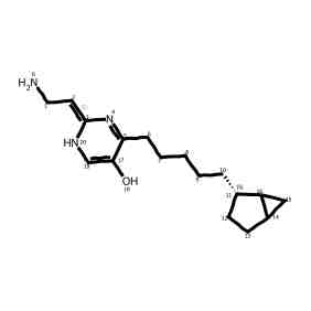 NC/C=C1/N=C(CCCCC[C@H]2CCC3CC32)C(O)=CN1